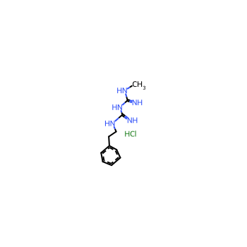 CNC(=N)NC(=N)NCCc1ccccc1.Cl